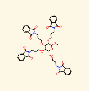 CO[C@H]1O[C@H](COCCCN2C(=O)c3ccccc3C2=O)[C@@H](OCCCN2C(=O)c3ccccc3C2=O)[C@H](OCCCN2C(=O)c3ccccc3C2=O)[C@H]1OCCCN1C(=O)c2ccccc2C1=O